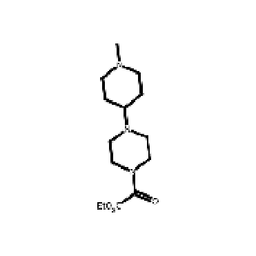 CCOC(=O)C(=O)N1CCN(C2CCN(C)CC2)CC1